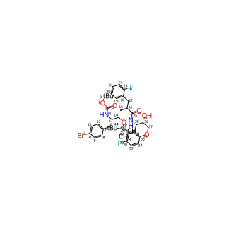 CC(C)(C)OC(=O)N[C@@H](Cc1ccc(Br)cc1)[C@H](C[C@@H](Cc1ccccc1F)C(=O)N[C@H]1c2cc(F)ccc2OC[C@H]1O)O[Si](C)(C)C(C)(C)C